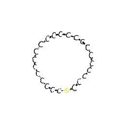 C1CCCCCCCCCCCSCCCCCCCCCC1